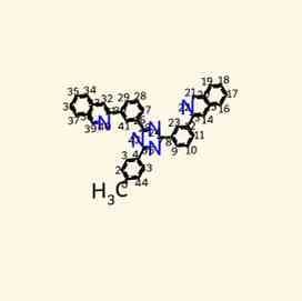 Cc1ccc(-c2nc(-c3cccc(-c4cc5ccccc5cn4)c3)nc(-c3cccc(-c4cc5ccccc5cn4)c3)n2)cc1